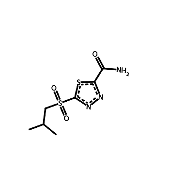 CC(C)CS(=O)(=O)c1nnc(C(N)=O)s1